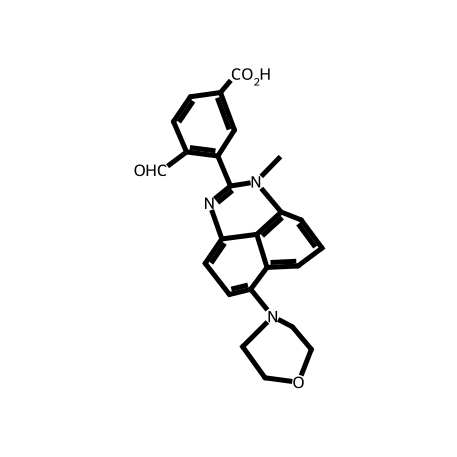 CN1C(c2cc(C(=O)O)ccc2C=O)=Nc2ccc(N3CCOCC3)c3cccc1c23